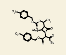 CSC1C(C(C)OC(=O)OCc2ccc([N+](=O)[O-])cc2)C(=O)N1C(C(=O)OCc1ccc([N+](=O)[O-])cc1)C(=O)C(C)(C)C